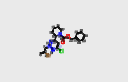 C=C(Br)/C=N\N(C)/C(Cl)=C\C(=N/C)C1CCCCN1C(=O)OCc1ccccc1